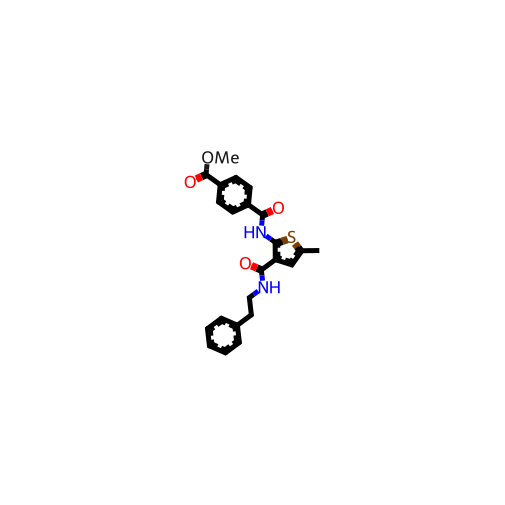 COC(=O)c1ccc(C(=O)Nc2sc(C)cc2C(=O)NCCc2ccccc2)cc1